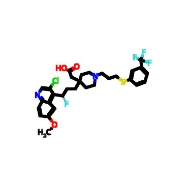 COc1ccc2ncc(Cl)c([C@@H](F)CCC3(CC(=O)O)CCN(CCCSc4cccc(C(F)(F)F)c4)CC3)c2c1